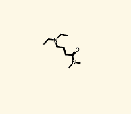 CCN(CC)CCCC(=O)N(C)C